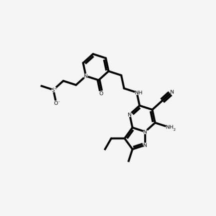 CCc1c(C)nn2c(N)c(C#N)c(NCCc3cccn(CC[S+](C)[O-])c3=O)nc12